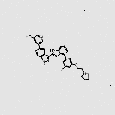 Oc1cncc(-c2ccc3[nH]nc(-c4cc5c(-c6cc(F)cc(OCCN7CCCC7)c6)cncc5[nH]4)c3c2)c1